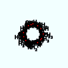 CCCC[C@H]1C(=O)N2C[C@H](O)C[C@@H]2C(=O)N2C[C@H](N)C[C@H]2C(=O)N[C@@H](C(C)C)C(=O)N(C)[C@@H](Cc2ccccc2)C(=O)N[C@@H](Cc2ccc(O)cc2)C(=O)N2CC[C@@H]2C(=O)N[C@@H](Cc2c[nH]c3ccccc23)C(=O)N[C@@H](Cc2ccc(O)cc2)C(=O)N[C@@H](CC(C)C)C(=O)N[C@H](C(=O)NCC(N)=O)CSCC(=O)N[C@@H](Cc2cc(F)c(F)c(F)c2)C(=O)N(C)[C@@H](Cc2ccccc2)C(=O)N1C